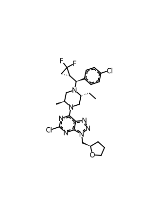 CC[C@@H]1CN(c2nc(Cl)nc3c2nnn3C[C@H]2CCCO2)[C@@H](C)CN1[C@H](c1ccc(Cl)cc1)[C@@H]1CC1(F)F